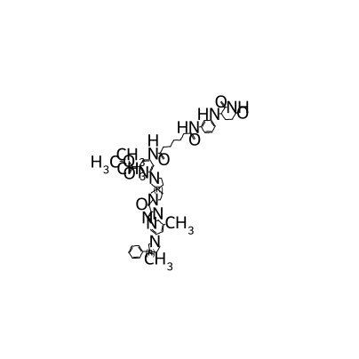 Cc1cc(N2CC[C@](C)(c3ccccc3)C2)cn2nc(C(=O)N3CC[C@@]4(CCN(c5cc(NC(=O)CCCCCC(=O)Nc6cccc(NC7CCC(=O)NC7=O)c6)cc(C(=O)OC(C)(C)C)n5)C4)C3)nc12